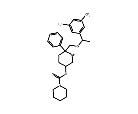 CC(OCC1(c2ccccc2)CCC(OC(=O)N2CCCCC2)CN1)c1cc(C(F)(F)F)cc(C(F)(F)F)c1